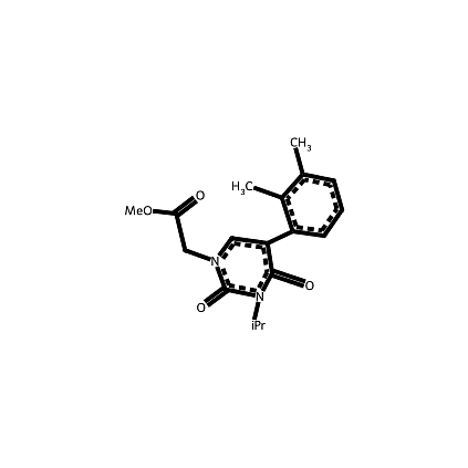 COC(=O)Cn1cc(-c2cccc(C)c2C)c(=O)n(C(C)C)c1=O